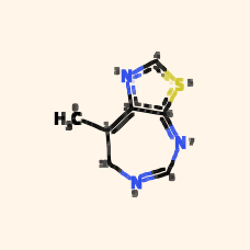 CC1=c2ncsc2=NC=NC1